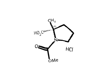 COC(=O)N1CCC[C@@]1(C)C(=O)O.Cl